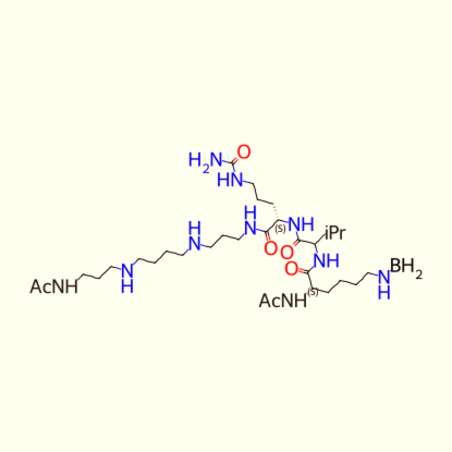 BNCCCC[C@H](NC(C)=O)C(=O)NC(C(=O)N[C@@H](CCCNC(N)=O)C(=O)NCCCNCCCCNCCCNC(C)=O)C(C)C